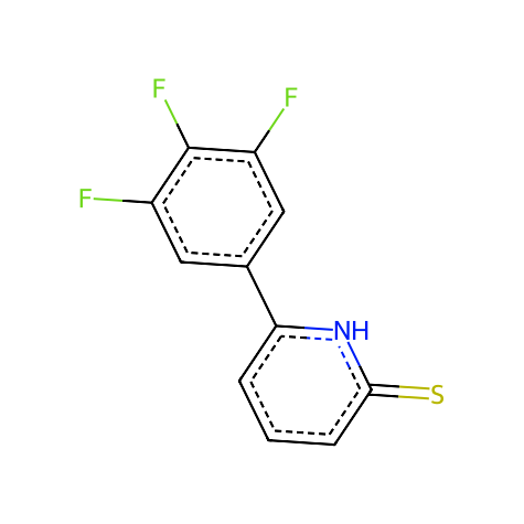 Fc1cc(-c2cccc(=S)[nH]2)cc(F)c1F